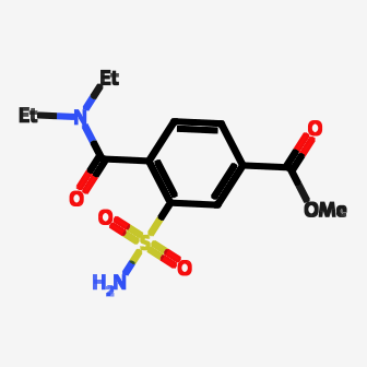 CCN(CC)C(=O)c1ccc(C(=O)OC)cc1S(N)(=O)=O